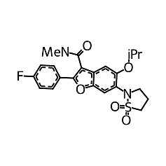 CNC(=O)c1c(-c2ccc(F)cc2)oc2cc(N3CCCS3(=O)=O)c(OC(C)C)cc12